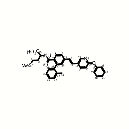 CSCCC(NC(=O)c1ccc(C=Cc2ccc(Oc3ccccc3)nc2)cc1-c1ccccc1C)C(=O)O